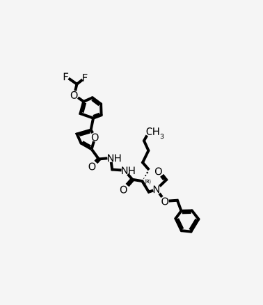 CCCCC[C@H](CN(C=O)OCc1ccccc1)C(=O)NCNC(=O)c1ccc(-c2cccc(OC(F)F)c2)o1